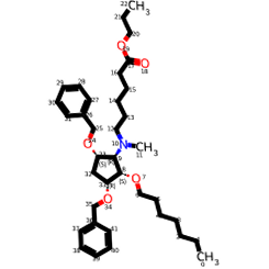 CCCCCCCO[C@H]1[C@H](N(C)CCCCCC(=O)OCCC)[C@@H](OCc2ccccc2)C[C@H]1OCc1ccccc1